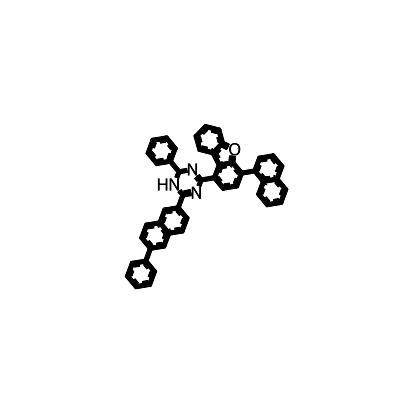 c1ccc(-c2ccc3cc(C4=NC(c5ccc(-c6cccc7ccccc67)c6oc7ccccc7c56)=NC(c5ccccc5)N4)ccc3c2)cc1